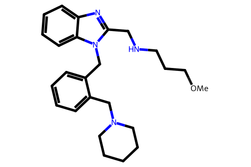 COCCCNCc1nc2ccccc2n1Cc1ccccc1CN1CCCCC1